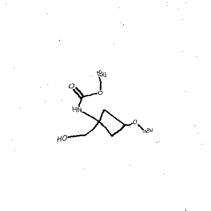 CCCCOC1CC(CO)(NC(=O)OC(C)(C)C)C1